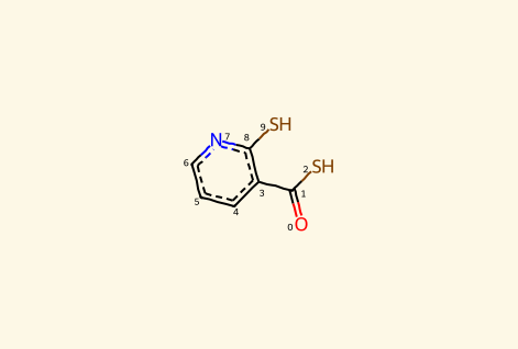 O=C(S)c1cccnc1S